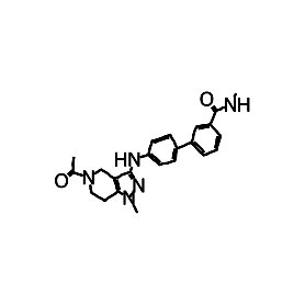 CNC(=O)c1cccc(-c2ccc(Nc3nn(C)c4c3CN(C(C)=O)CC4)cc2)c1